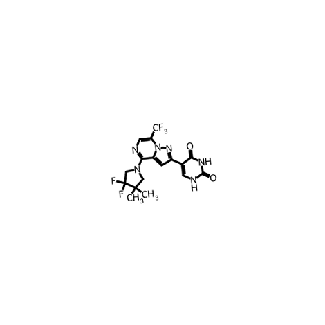 CC1(C)CN(c2ncc(C(F)(F)F)n3nc(-c4c[nH]c(=O)[nH]c4=O)cc23)CC1(F)F